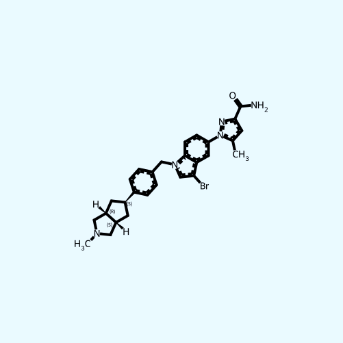 Cc1cc(C(N)=O)nn1-c1ccc2c(c1)c(Br)cn2Cc1ccc([C@H]2C[C@@H]3CN(C)C[C@@H]3C2)cc1